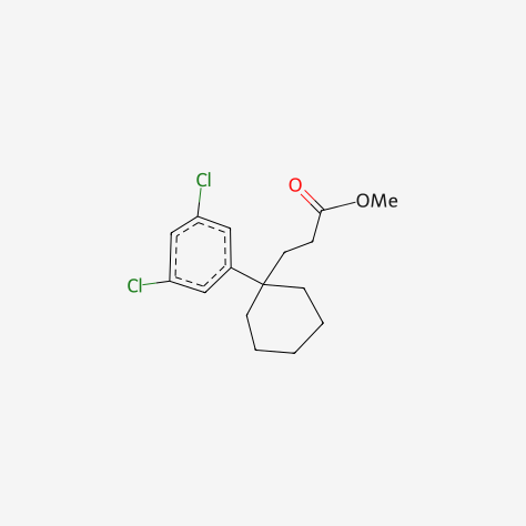 COC(=O)CCC1(c2cc(Cl)cc(Cl)c2)CCCCC1